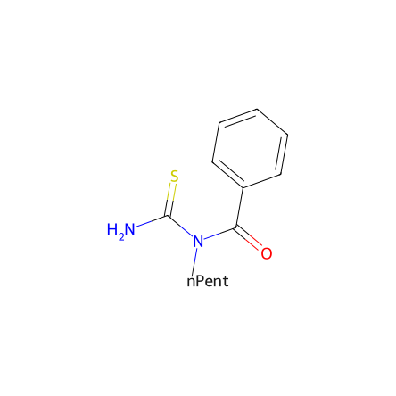 CCCCCN(C(=O)c1ccccc1)C(N)=S